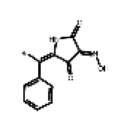 O=C1NC(=C(Br)c2ccccc2)C(=O)C1=NO